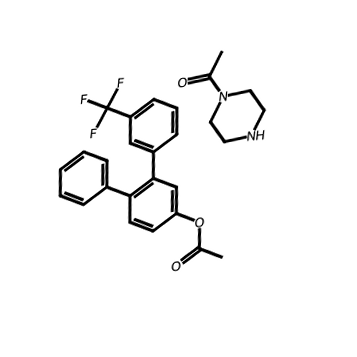 CC(=O)N1CCNCC1.CC(=O)Oc1ccc(-c2ccccc2)c(-c2cccc(C(F)(F)F)c2)c1